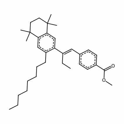 CCCCCCCCc1cc2c(cc1/C(=C/c1ccc(C(=O)OC)cc1)CC)C(C)(C)CCC2(C)C